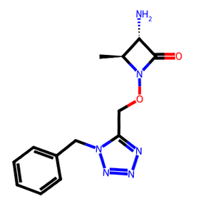 C[C@H]1[C@H](N)C(=O)N1OCc1nnnn1Cc1ccccc1